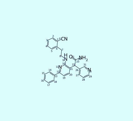 N#Cc1ccccc1CCNc1nc(-c2ccccc2)ccc1C(C(N)=O)c1cccnc1